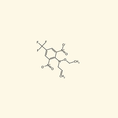 C=CCN(OCC)c1c([N+](=O)[O-])cc(C(F)(F)F)cc1[N+](=O)[O-]